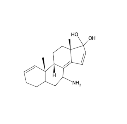 C[C@]12C=CCCC1CC(N)C1=C3C=CC(O)(O)[C@@]3(C)CC[C@H]12